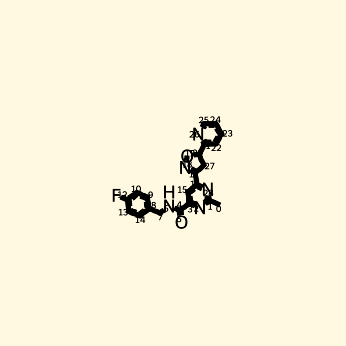 Cc1nc(C(=O)NCc2ccc(F)cc2)cc(C2=NOC(c3ccccn3)C2)n1